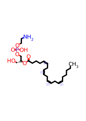 CCCCC/C=C\C/C=C\C/C=C\C/C=C\CCCC(=O)O[C@H](CO)COP(=O)(O)OCCN